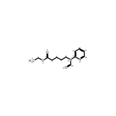 CCOC(=O)CCCCN(C=O)c1ccccn1